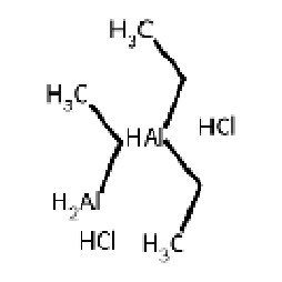 C[CH2][AlH2].C[CH2][AlH][CH2]C.Cl.Cl